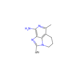 CCCc1nc2c(N)nc(C)c3c2n1CCC3